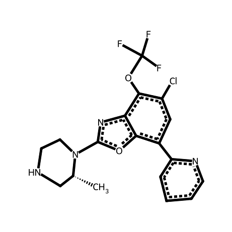 C[C@@H]1CNCCN1c1nc2c(OC(F)(F)F)c(Cl)cc(-c3ccccn3)c2o1